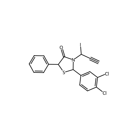 C#CC(I)N1C(=O)C(c2ccccc2)SC1c1ccc(Cl)c(Cl)c1